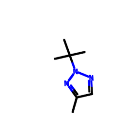 Cc1cnn(C(C)(C)C)n1